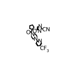 Cn1cc(OC2(C(=O)N3CCN(c4ccc(C(F)(F)F)cn4)CC3)CCCC2)nc1C#N